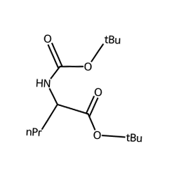 CCCC(NC(=O)OC(C)(C)C)C(=O)OC(C)(C)C